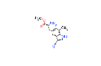 COC(=O)C(N)Cc1cc(C)c2[nH]cc(C#N)c2c1